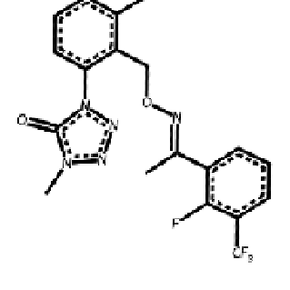 CC(=NOCc1c(C)cccc1-n1nnn(C)c1=O)c1cccc(C(F)(F)F)c1F